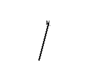 CCCCCCCCCCCCCCCCCCCCCCCCCCCC[CH]C#N